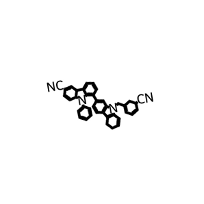 N#CC1=CC2c3cccc(-c4ccc5c6c(n(CC7=CC=CC(C#N)C7)c5c4)C=CCC6)c3N(c3ccccc3)C2C=C1